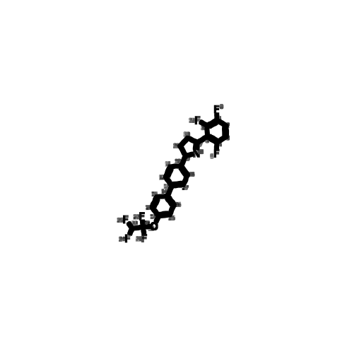 Fc1ccc(F)c(C2=NC(c3ccc(-c4ccc(OC(F)(F)C(F)F)cc4)cc3)CC2)c1F